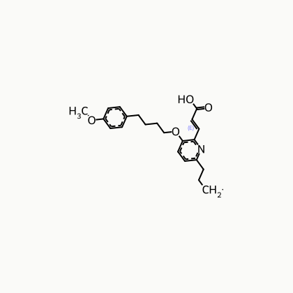 [CH2]CCc1ccc(OCCCCc2ccc(OC)cc2)c(/C=C/C(=O)O)n1